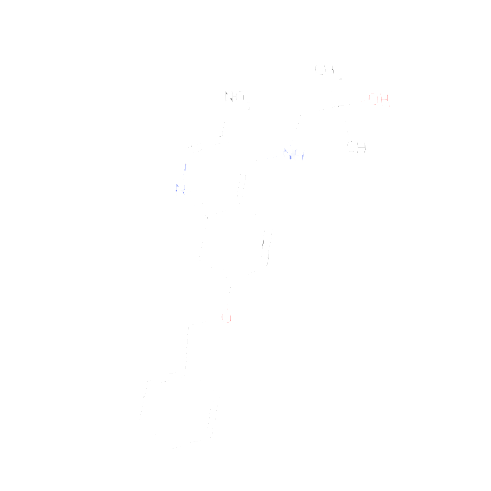 CC(C)(O)CNc1c([N+](=O)[O-])cnc2cc(OCc3ccccc3)ccc12